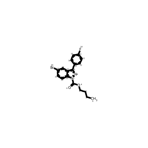 CCCCOC(=O)n1nc(-c2ccc(F)cc2)c2cc(Br)ccc21